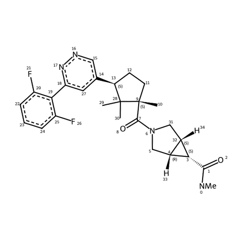 CNC(=O)[C@@H]1[C@@H]2CN(C(=O)[C@@]3(C)CC[C@H](c4cnnc(-c5c(F)cccc5F)c4)C3(C)C)C[C@@H]21